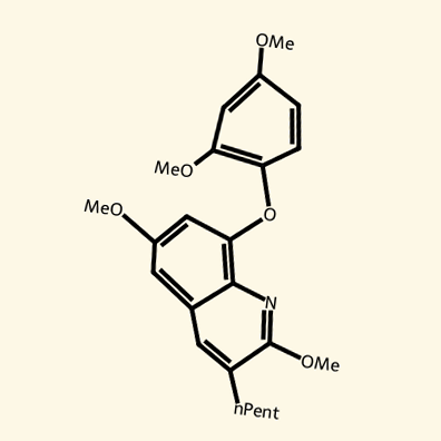 CCCCCc1cc2cc(OC)cc(Oc3ccc(OC)cc3OC)c2nc1OC